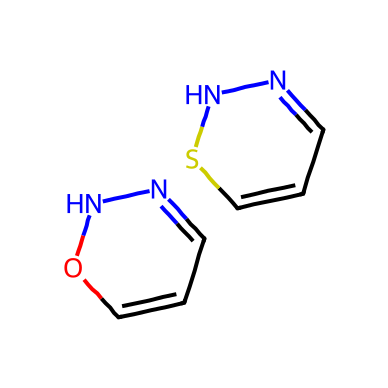 C1=CONN=C1.C1=CSNN=C1